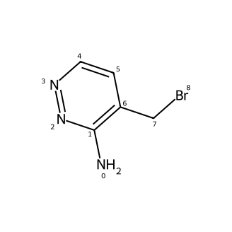 Nc1nnccc1CBr